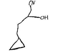 N#CC(O)CC1CC1